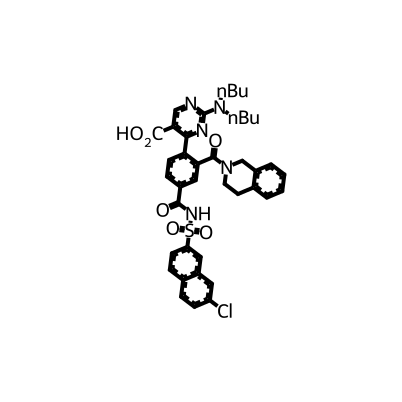 CCCCN(CCCC)c1ncc(C(=O)O)c(-c2ccc(C(=O)NS(=O)(=O)c3ccc4ccc(Cl)cc4c3)cc2C(=O)N2CCc3ccccc3C2)n1